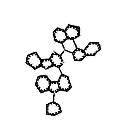 c1ccc(-n2c3ccccc3c3c(-c4nc(N5c6ccc7ccccc7c6-c6cccc7cccc5c67)nc5c4oc4ccccc45)cccc32)cc1